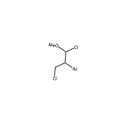 COC(Cl)C(CCl)C(C)=O